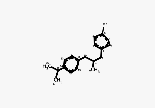 CC(Cc1ccc(F)cc1)Cc1ccc(C(C)C)cc1